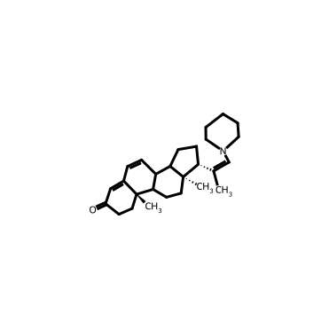 C/C(=C/N1CCCCC1)[C@H]1CCC2C3C=CC4=CC(=O)CC[C@@]4(C)C3CC[C@@]21C